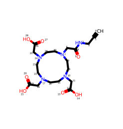 C#CCNC(=O)CN1CCN(CC(=O)O)CCN(CC(=O)O)CCN(CC(=O)O)CC1